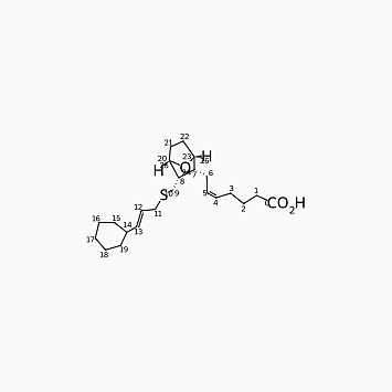 O=C(O)CCC/C=C\C[C@@H]1[C@H](CSC/C=C/C2CCCCC2)[C@@H]2CC[C@H]1O2